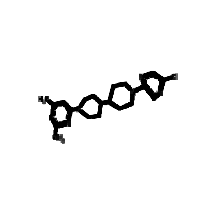 Cc1cc(N2CCC(C3CCN(c4cnc(Cl)cn4)CC3)CC2)nc(C)n1